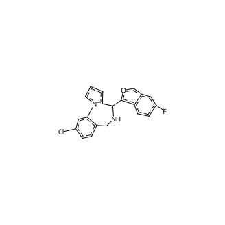 Fc1ccc2c(C3NCc4ccc(Cl)cc4-n4cccc43)occ2c1